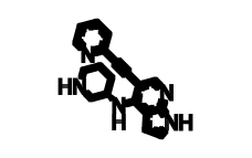 C(#Cc1cnc2[nH]ccc2c1N[C@@H]1CCCNC1)c1ccccn1